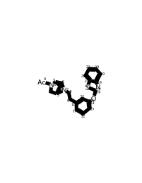 CC(=O)N1CC2CC1CN2CCc1cccc(Oc2nc3ccccc3s2)c1